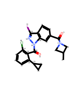 CC1CN(C(=O)c2ccc3c(I)nn(C(=O)c4c(Cl)cccc4C4CC4)c3c2)C1